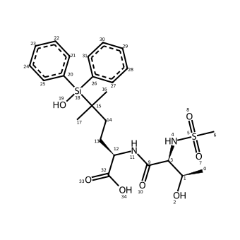 C[C@@H](O)[C@H](NS(C)(=O)=O)C(=O)N[C@H](CCC(C)(C)[Si](O)(c1ccccc1)c1ccccc1)C(=O)O